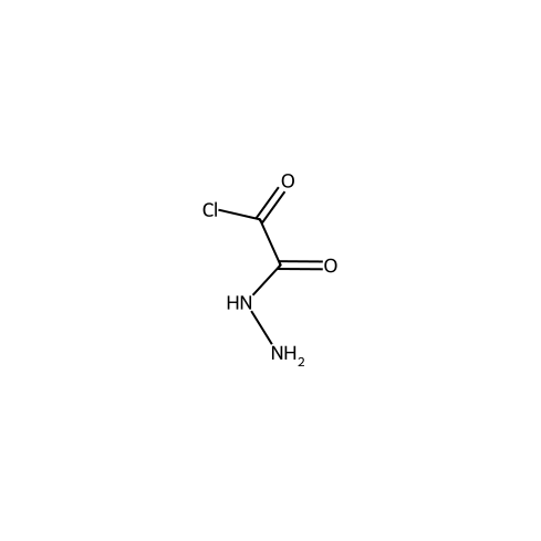 NNC(=O)C(=O)Cl